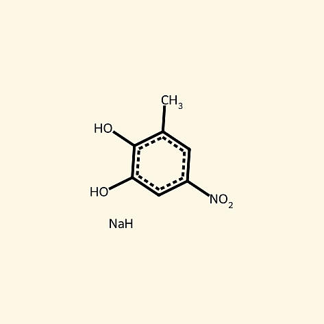 Cc1cc([N+](=O)[O-])cc(O)c1O.[NaH]